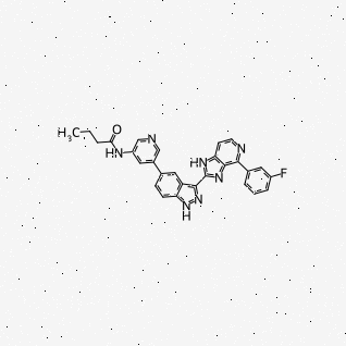 CCCC(=O)Nc1cncc(-c2ccc3[nH]nc(-c4nc5c(-c6cccc(F)c6)nccc5[nH]4)c3c2)c1